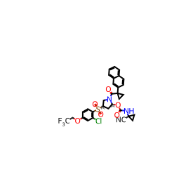 N#CC1(NC(=O)O[C@H]2C[C@@H](S(=O)(=O)c3ccc(OCC(F)(F)F)cc3Cl)CN2C(=O)C2(c3ccc4ccccc4c3)CC2)CC1